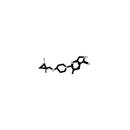 Cc1cc2c(nc1N1CCC(OC[C@]3(C)C[C@@H]3F)CC1)CNC2=O